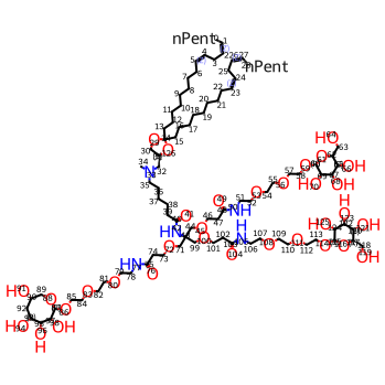 CCCCC/C=C\C/C=C\CCCCCCCCC1(CCCCCCCC/C=C\C/C=C\CCCCC)OC[C@H](CN(C)CCCCCC(=O)NC(COCCC(=O)NCCOCCOCCO[C@@H]2OC(CO)[C@@H](O)C(O)C2O)(COCCC(=O)NCCOCCOCCO[C@@H]2OCC(O)C[C@@H](O)C(O)C2O)COCCC(=O)NCCOCCOCCO[C@@H]2O[C@H](CO)[C@@H](O)C(O)C2O)O1